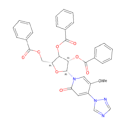 COc1cn([C@@H]2O[C@H](COC(=O)c3ccccc3)C(OC(=O)c3ccccc3)[C@@H]2OC(=O)c2ccccc2)c(=O)cc1-n1cncn1